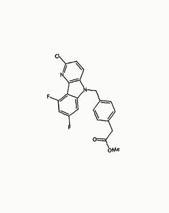 COC(=O)Cc1ccc(Cn2c3ccc(Cl)nc3c3c(F)cc(F)cc32)cc1